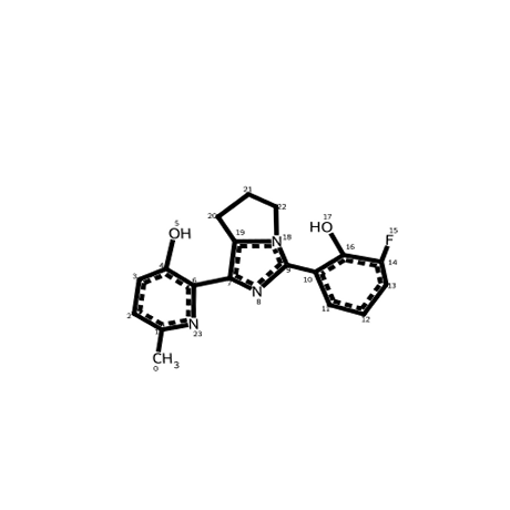 Cc1ccc(O)c(-c2nc(-c3cccc(F)c3O)n3c2CCC3)n1